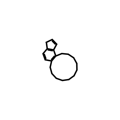 [CH]1C=Cc2c1ccc1c2CCCCCCCCCCC1